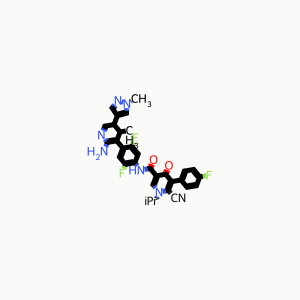 CC1C(c2cc(F)c(NC(=O)c3cn(C(C)C)c(C#N)c(-c4ccc(F)cc4)c3=O)cc2F)=C(N)N=CC1c1cnn(C)c1